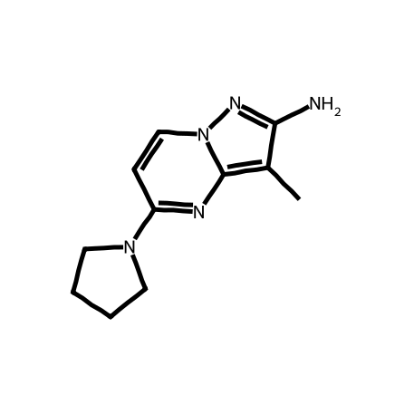 Cc1c(N)nn2ccc(N3CCCC3)nc12